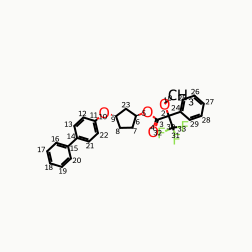 COC(C(=O)O[C@H]1CC[C@H](Oc2ccc(-c3ccccc3)cc2)C1)(c1ccccc1)C(F)(F)F